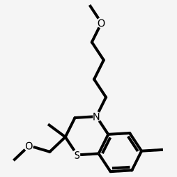 COCCCCN1CC(C)(COC)Sc2ccc(C)cc21